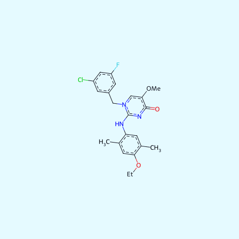 CCOc1cc(C)c(Nc2nc(=O)c(OC)cn2Cc2cc(F)cc(Cl)c2)cc1C